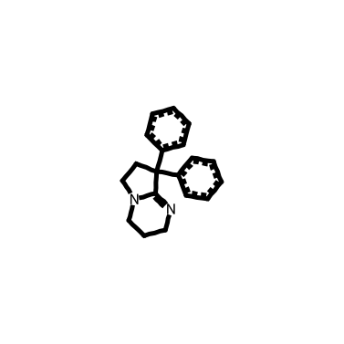 c1ccc(C2(c3ccccc3)CCN3CCCN=C32)cc1